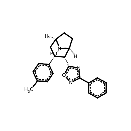 Cc1ccc([C@@H]2C[C@H]3CC[C@@H]([C@@H]2c2nc(-c4ccccc4)no2)N3C)cc1